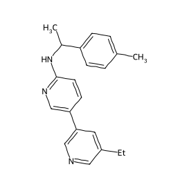 CCc1cncc(-c2ccc(NC(C)c3ccc(C)cc3)nc2)c1